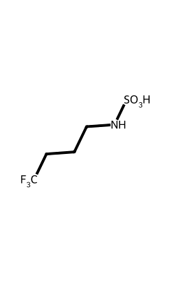 O=S(=O)(O)NCCCC(F)(F)F